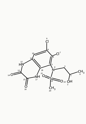 CC(O)CN(c1c(Cl)c(Cl)cc2[nH]c(=O)c(=O)[nH]c12)S(C)(=O)=O